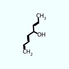 C=CC=CC(O)C=CC